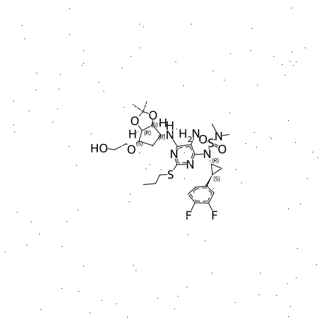 CCCSc1nc(N[C@@H]2C[C@H](OCCO)[C@H]3OC(C)(C)O[C@H]32)c(N)c(N([C@@H]2C[C@H]2c2ccc(F)c(F)c2)S(=O)(=O)N(C)C)n1